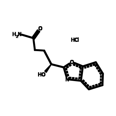 Cl.NC(=O)CC[C@H](O)c1nc2ccccc2o1